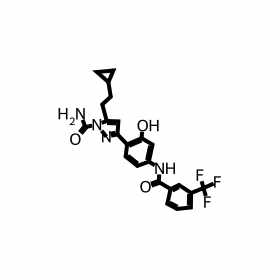 NC(=O)n1nc(-c2ccc(NC(=O)c3cccc(C(F)(F)F)c3)cc2O)cc1CCC1CC1